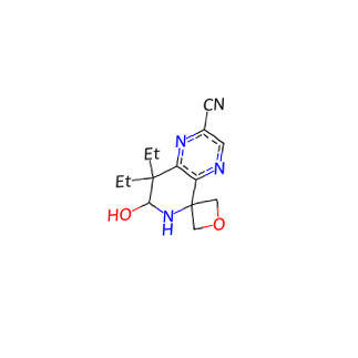 CCC1(CC)c2nc(C#N)cnc2C2(COC2)NC1O